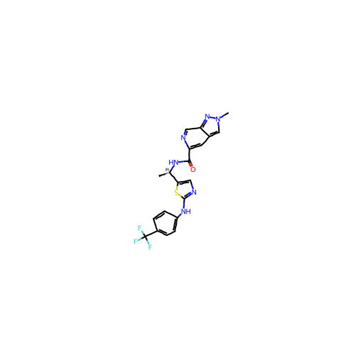 C[C@@H](NC(=O)c1cc2cn(C)nc2cn1)c1cnc(Nc2ccc(C(F)(F)F)cc2)s1